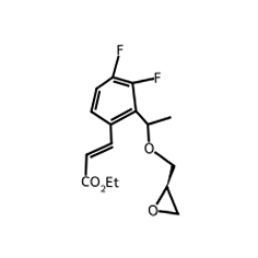 CCOC(=O)/C=C/c1ccc(F)c(F)c1C(C)OC[C@H]1CO1